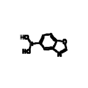 OB(O)c1ccc2ocnc2c1